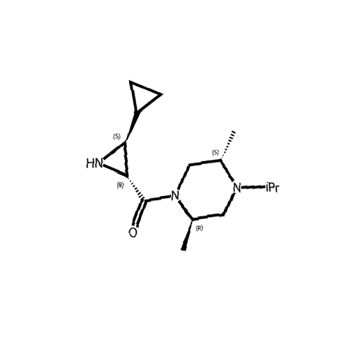 CC(C)N1C[C@@H](C)N(C(=O)[C@@H]2N[C@H]2C2CC2)C[C@@H]1C